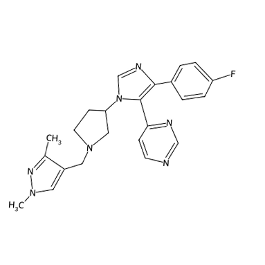 Cc1nn(C)cc1CN1CCC(n2cnc(-c3ccc(F)cc3)c2-c2ccncn2)C1